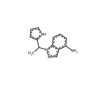 CC(c1ccc[nH]1)n1ncc2c(N)cccc21